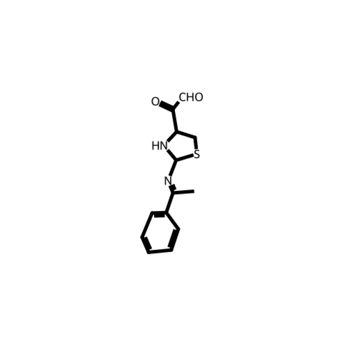 CC(=NC1NC(C(=O)C=O)CS1)c1ccccc1